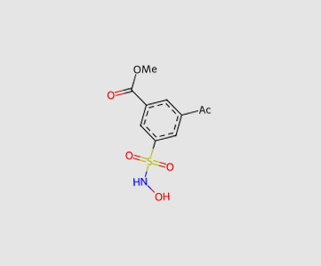 COC(=O)c1cc(C(C)=O)cc(S(=O)(=O)NO)c1